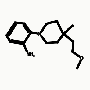 COCCC1(C)CCN(c2ccccc2N)CC1